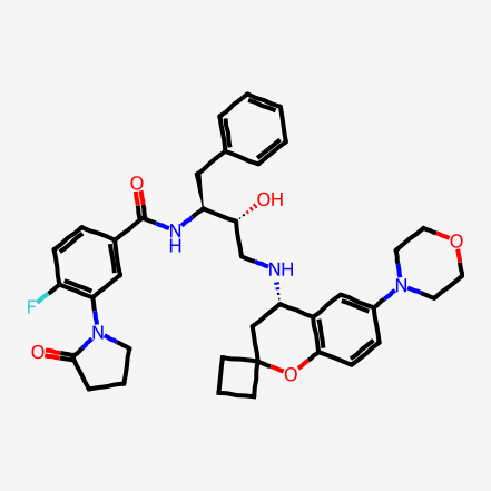 O=C(N[C@@H](Cc1ccccc1)[C@H](O)CN[C@H]1CC2(CCC2)Oc2ccc(N3CCOCC3)cc21)c1ccc(F)c(N2CCCC2=O)c1